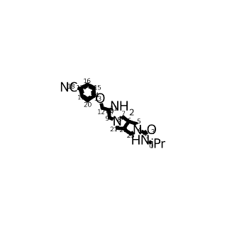 CC(C)NC(=O)N1CC2CN(C[C@H](N)COc3ccc(C#N)cc3)CC2C1